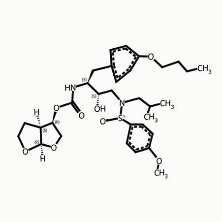 CCCCOc1ccc(C[C@H](NC(=O)O[C@H]2CO[C@H]3OCC[C@H]32)[C@@H](O)CN(CC(C)C)[S+]([O-])c2ccc(OC)cc2)cc1